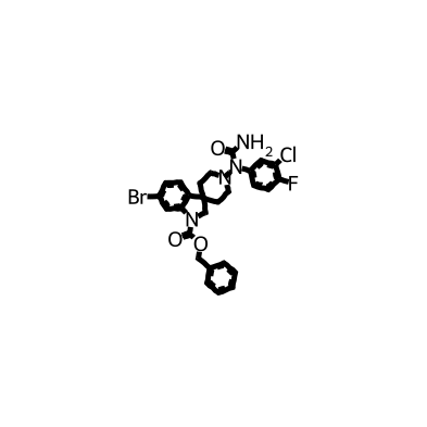 NC(=O)N(c1ccc(F)c(Cl)c1)N1CCC2(CC1)CN(C(=O)OCc1ccccc1)c1cc(Br)ccc12